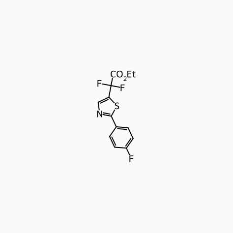 CCOC(=O)C(F)(F)c1cnc(-c2ccc(F)cc2)s1